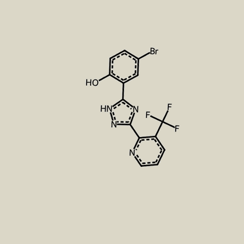 Oc1ccc(Br)cc1-c1nc(-c2ncccc2C(F)(F)F)n[nH]1